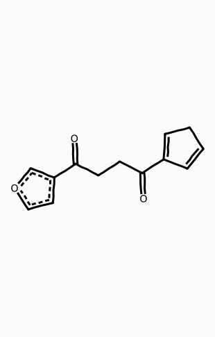 O=C(CCC(=O)c1ccoc1)C1=CCC=C1